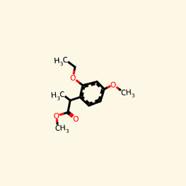 CCOc1cc(OC)ccc1C(C)C(=O)OC